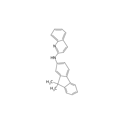 CC1(C)c2ccccc2-c2ccc(Nc3ccc4ccccc4n3)cc21